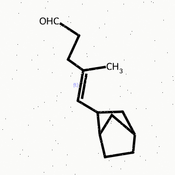 C/C(=C\C1CC2CCC1C2)CCC=O